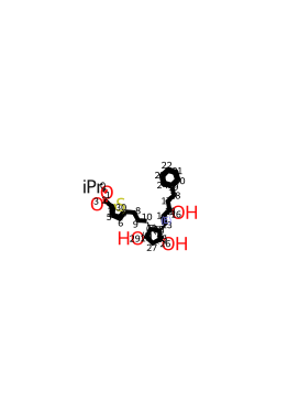 CC(C)OC(=O)c1ccc(CCC[C@@H]2[C@@H](/C=C/[C@@H](O)CCc3ccccc3)[C@H](O)C[C@@H]2O)s1